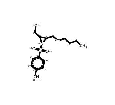 CCCCOCC1C(CO)N1S(=O)(=O)c1ccc(C)cc1